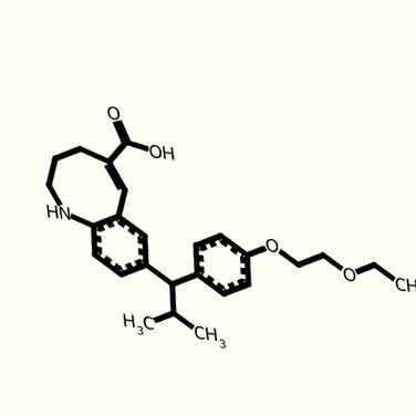 CCOCCOc1ccc(C(c2ccc3c(c2)/C=C(/C(=O)O)CCCN3)C(C)C)cc1